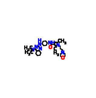 Cc1cc(C(=O)N[C@H]2CC[C@@H](Nc3nc4c(c(N(C)C)n3)CCCC4)CC2)c(C)n1CCCN1CCOCC1